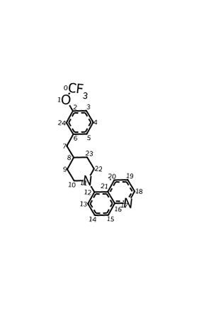 FC(F)(F)Oc1cccc(CC2CCN(c3cccc4ncc[c]c34)CC2)c1